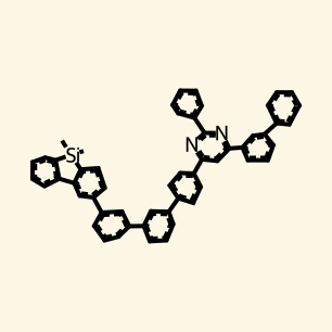 C[Si]1(C)c2ccccc2-c2cc(-c3cccc(-c4cccc(-c5ccc(-c6cc(-c7cccc(-c8ccccc8)c7)nc(-c7ccccc7)n6)cc5)c4)c3)ccc21